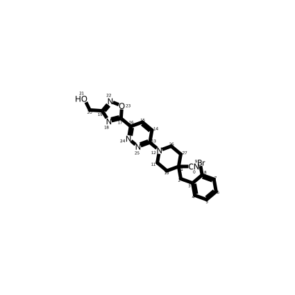 N#CC1(Cc2ccccc2Br)CCN(c2ccc(-c3nc(CO)no3)nn2)CC1